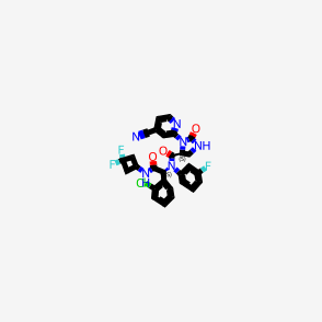 N#Cc1ccnc(N2C(=O)NC[C@H]2C(=O)N(c2cccc(F)c2)[C@H](C(=O)NC2CC(F)(F)C2)c2ccccc2Cl)c1